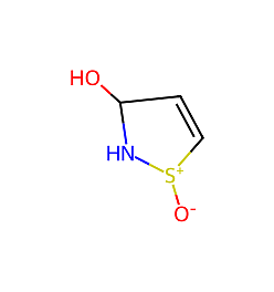 [O-][S+]1C=CC(O)N1